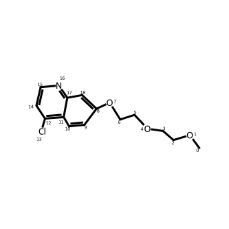 COCCOCCOc1ccc2c(Cl)ccnc2c1